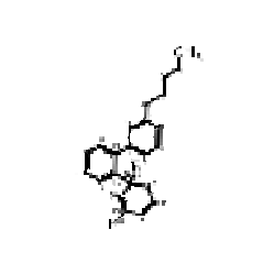 CCCCCc1cccc(-c2ccccc2C2(F)C=C(F)C=CC2)c1